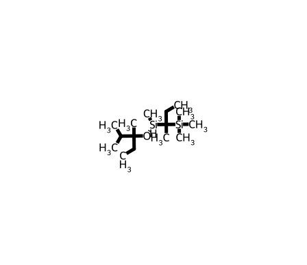 CCC(C)(O[SiH](C)C(C)(CC)[Si](C)(C)C)C(C)C